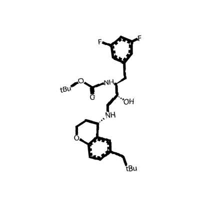 CC(C)(C)Cc1ccc2c(c1)[C@@H](NC[C@@H](O)[C@H](Cc1cc(F)cc(F)c1)NC(=O)OC(C)(C)C)CCO2